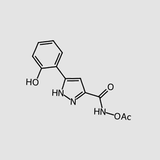 CC(=O)ONC(=O)c1cc(-c2ccccc2O)[nH]n1